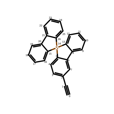 C#Cc1ccc2c(c1)-c1ccccc1S21c2ccccc2-c2ccccc21